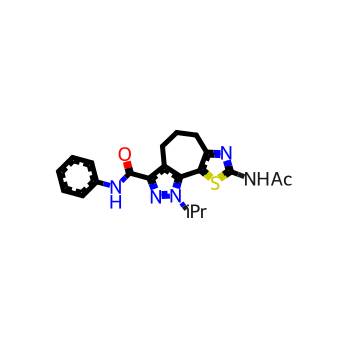 CC(=O)Nc1nc2c(s1)-c1c(c(C(=O)Nc3ccccc3)nn1C(C)C)CCC2